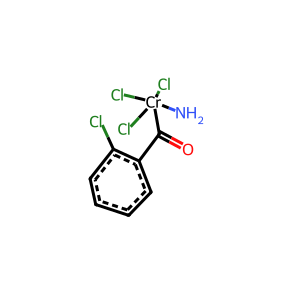 [NH2][Cr]([Cl])([Cl])([Cl])[C](=O)c1ccccc1Cl